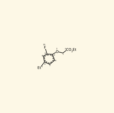 CCOC(=O)COc1ccc(CC)cc1F